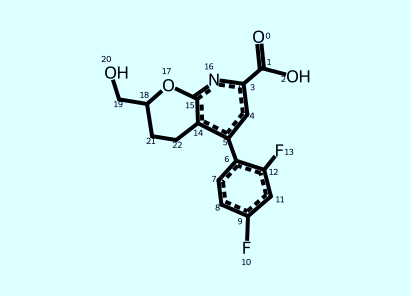 O=C(O)c1cc(-c2ccc(F)cc2F)c2c(n1)OC(CO)CC2